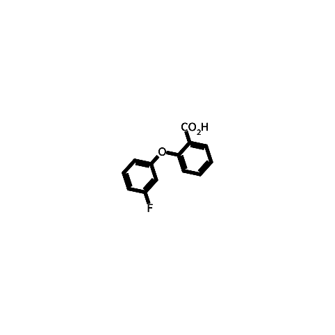 O=C(O)c1ccccc1Oc1cccc(F)c1